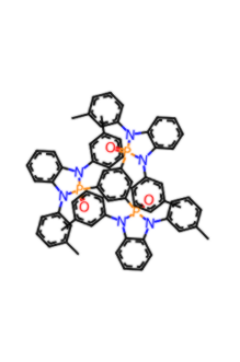 Cc1cccc(N2c3ccccc3N(c3cccc(C)c3)P2(=O)c2cc(P3(=O)N(c4cccc(C)c4)c4ccccc4N3c3cccc(C)c3)cc(P3(=O)N(c4cccc(C)c4)c4ccccc4N3c3cccc(C)c3)c2)c1